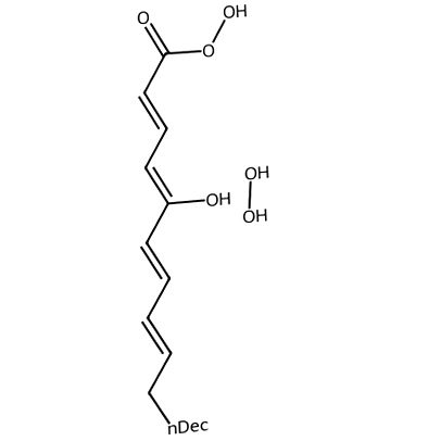 CCCCCCCCCCCC=CC=CC(O)=CC=CC(=O)OO.OO